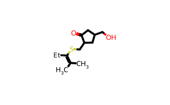 CCC(SCC1CC(CO)CC1=O)=C(C)C